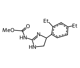 CCc1ccc(C2CNC(NC(=O)OC)=N2)c(CC)c1